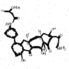 COC(=O)C(=O)Nc1ccc(-c2ccc(O)c3c2C[C@H]2C[C@H]4CC(O)=C(C(N)=O)C(=O)C4(O)C(O)=C2C3=O)cc1